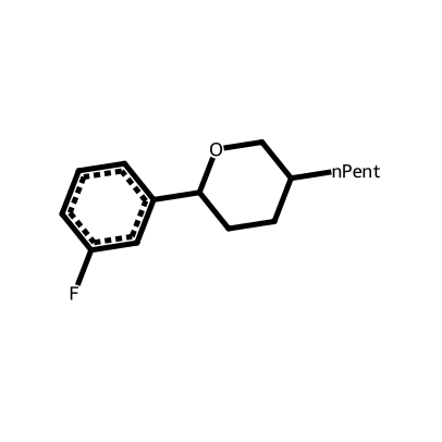 CCCCCC1CCC(c2cccc(F)c2)OC1